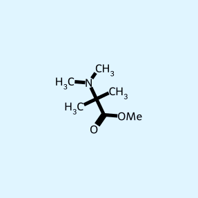 COC(=O)C(C)(C)N(C)C